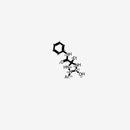 CCC1(C(=O)Nc2ccccc2)NN(O)N(C(C)=O)N1